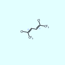 FC(F)(F)/C(Cl)=C/C=C(/Cl)C(F)(F)F